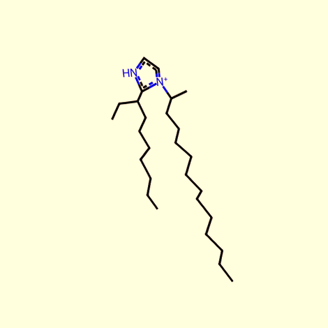 CCCCCCCCCCCCC(C)[n+]1cc[nH]c1C(CC)CCCCCCC